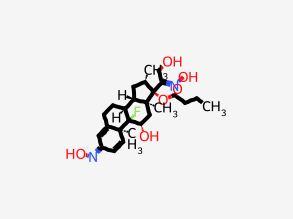 CCCC(=O)O[C@]1(/C(CO)=N/O)[C@@H](C)C[C@H]2[C@@H]3CCC4=CC(=NO)C=C[C@]4(C)[C@@]3(F)[C@@H](O)C[C@@]21C